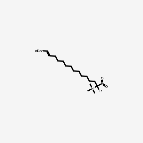 CCCCCCCCCCC=CCCCCCCCCCCCC(CC)(P(=O)=O)[N+](C)(C)C